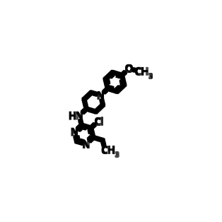 CCc1ncnc(NC2CCN(c3ccc(OC)cc3)CC2)c1Cl